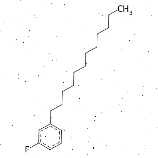 CCCCCCCCCCCCc1[c]ccc(F)c1